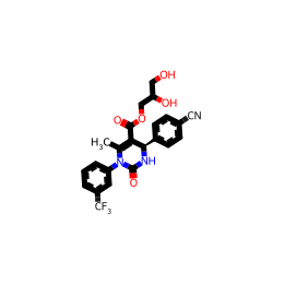 CC1=C(C(=O)OCC(O)CO)[C@@H](c2ccc(C#N)cc2)NC(=O)N1c1cccc(C(F)(F)F)c1